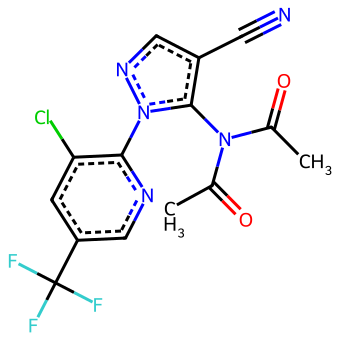 CC(=O)N(C(C)=O)c1c(C#N)cnn1-c1ncc(C(F)(F)F)cc1Cl